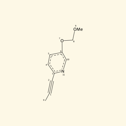 CC#Cc1ccc(OCOC)cn1